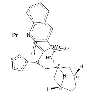 COC(=O)N(CCN1[C@@H]2CC[C@H]1C[C@@H](NC(=O)c1cc3ccccc3n(C(C)C)c1=O)C2)c1ccsc1